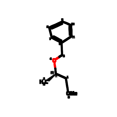 COC[C@H](C)OCc1ccccc1